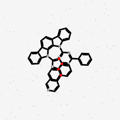 c1ccc(-c2nc(-c3ccccc3)nc(-n3c4ccccc4c4ccc5c6ccccc6n(-c6nc7cccc(-c8ccncc8)c7o6)c5c43)n2)cc1